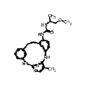 COCC(C)NC(=O)Nc1ccc2cc1CCc1cccc(c1)Nc1ncc(C)c(n1)N2